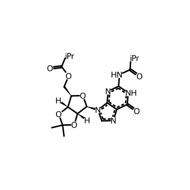 CC(C)C(=O)Nc1nc2c(ncn2[C@@H]2O[C@H](COC(=O)C(C)C)[C@H]3OC(C)(C)O[C@H]32)c(=O)[nH]1